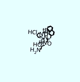 CC(C)(C)C(=O)N1CCC[C@H]1C(=O)N[C@H](Cc1ccc2ccccc2c1)C(=O)NCC(O)CN.Cl